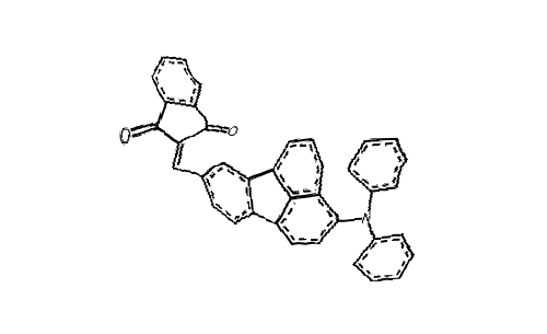 O=C1C(=Cc2ccc3c(c2)-c2cccc4c(N(c5ccccc5)c5ccccc5)ccc-3c24)C(=O)c2ccccc21